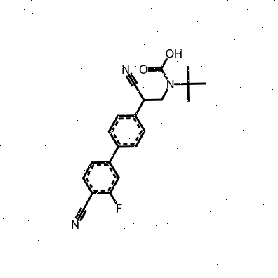 CC(C)(C)N(CC(C#N)c1ccc(-c2ccc(C#N)c(F)c2)cc1)C(=O)O